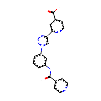 O=C(O)c1ccnc(-c2cn(-c3cccc(NC(=O)c4ccncc4)c3)nn2)c1